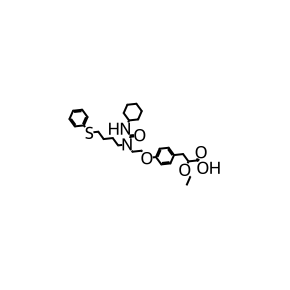 CCOC(Cc1ccc(OCCN(CCCCSc2ccccc2)C(=O)NC2CCCCC2)cc1)C(=O)O